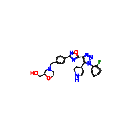 OCC1CN(Cc2ccc(-c3noc(-c4nnn(-c5ccccc5F)c4C4=CCNC=C4)n3)cc2)CCO1